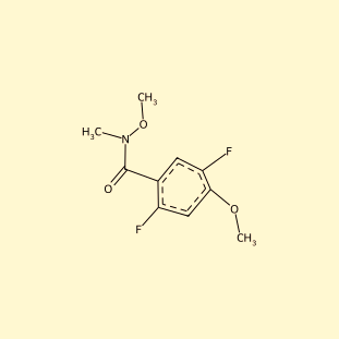 COc1cc(F)c(C(=O)N(C)OC)cc1F